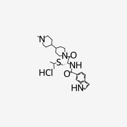 CC(C)SC[C@@H](NC(=O)c1ccc2cc[nH]c2c1)C(=O)N1CCC(C2CCN(C)CC2)CC1.Cl